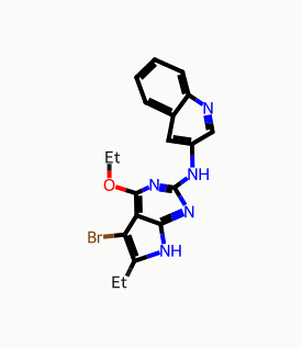 CCOc1nc(Nc2cnc3ccccc3c2)nc2[nH]c(CC)c(Br)c12